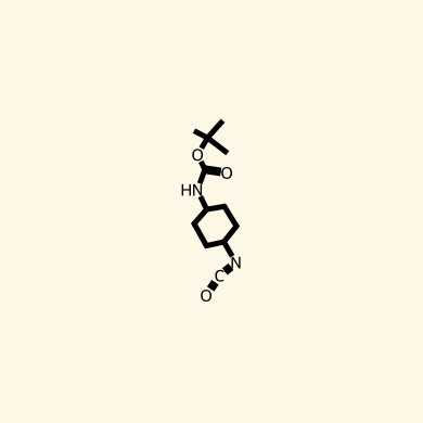 CC(C)(C)OC(=O)NC1CCC(N=C=O)CC1